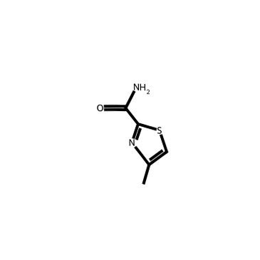 Cc1csc(C(N)=O)n1